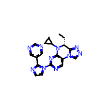 CC[C@@H]1c2nncn2-c2cnc(-n3ccnc3-c3cncnc3)nc2N1C1CC1